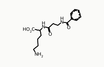 NCCCCC(NC(=O)CCNC(=O)c1ccccc1)C(=O)O